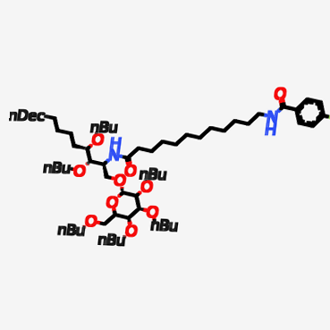 CCCCCCCCCCCCCC[C@@H](OCCCC)[C@@H](OCCCC)[C@H](CO[C@H]1OC(COCCCC)[C@H](OCCCC)[C@H](OCCCC)C1OCCCC)NC(=O)CCCCCCCCCCCNC(=O)c1ccc(F)cc1